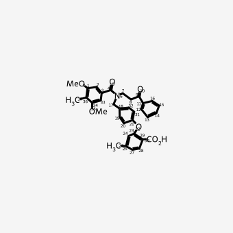 COc1cc(C(=O)N(CCC(=O)c2ccccc2)Cc2ccc(Oc3cc(C)ccc3C(=O)O)cc2)cc(OC)c1C